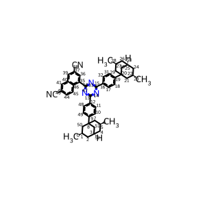 C[C@@H]1C[C@@H]2C[C@H](C)CC(c3ccc(-c4nc(-c5ccc(C67C[C@H](C)C[C@H](C[C@H](C)C6)C7)cc5)nc(-c5cc(C#N)cc6cc(C#N)ccc56)n4)cc3)(C1)C2